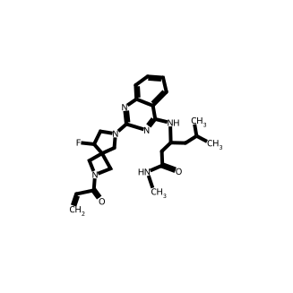 C=CC(=O)N1CC2(C1)CN(c1nc(NC(CC(=O)NC)CC(C)C)c3ccccc3n1)CC2F